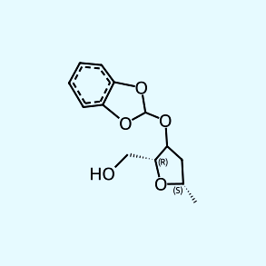 C[C@H]1CC(OC2Oc3ccccc3O2)[C@@H](CO)O1